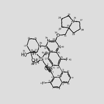 CC(C)[Si](C#Cc1c(F)ccc2cccc(-c3c([N+](=O)[O-])cc4c(N5CCCC(C)(O)C5)nc(OCC56CCCN5CCC6)nc4c3F)c12)(C(C)C)C(C)C